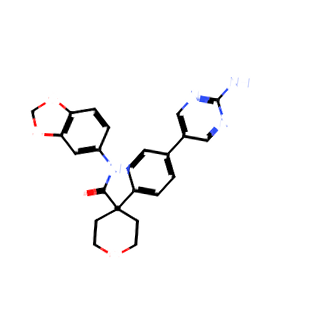 Nc1ncc(-c2ccc(C3(C(=O)Nc4ccc5c(c4)OCO5)CCOCC3)cc2)cn1